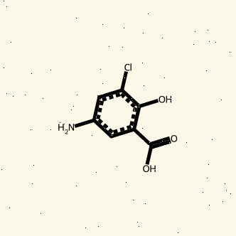 Nc1cc(Cl)c(O)c(C(=O)O)c1